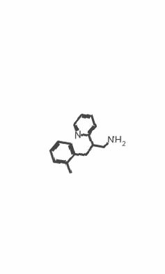 Cc1ccccc1CC(CN)c1ccccn1